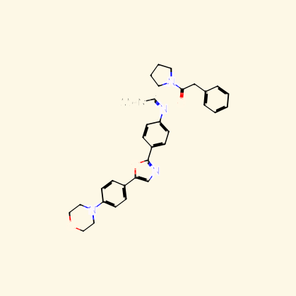 CN/C(=N\c1ccc(-c2ncc(-c3ccc(N4CCOCC4)cc3)o2)cc1)[C@@H]1CCCN1C(=O)Cc1ccccc1